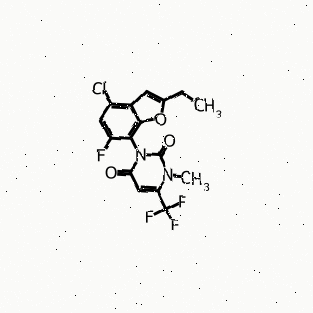 CCc1cc2c(Cl)cc(F)c(-n3c(=O)cc(C(F)(F)F)n(C)c3=O)c2o1